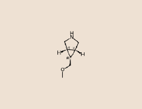 COC[C@H]1[C@@H]2CNC[C@@H]21